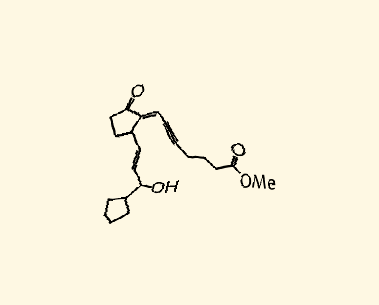 COC(=O)CCCC#CC=C1C(=O)CCC1C=CC(O)C1CCCC1